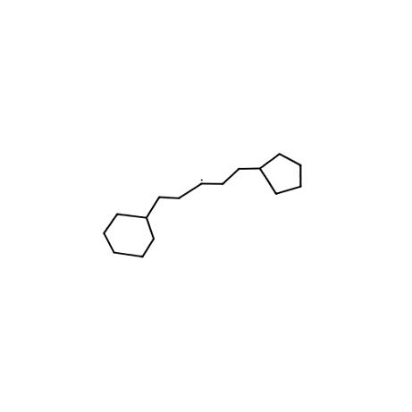 [CH](CCC1CCCCC1)CCC1CCCC1